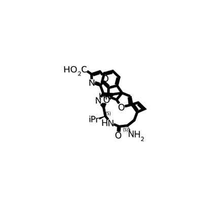 CC(C)[C@@H]1NC(=O)[C@@H](N)Cc2ccc3c(c2)C2(c4ccccc4NC2O3)c2oc1nc2-c1nc(C(=O)O)co1